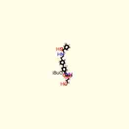 CC(C)COc1cc(-c2ccc(CCNC[C@@H](O)c3ccccc3)cc2)ccc1C(=O)NS(=O)(=O)CCCO